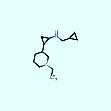 FC(F)(F)CN1CCCC(C2CC2NCC2CC2)C1